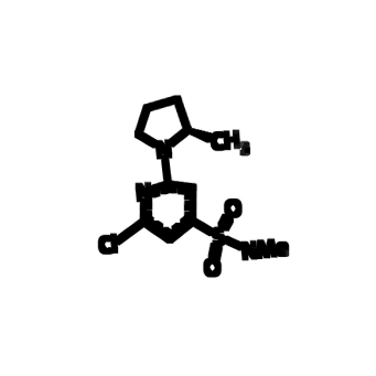 CNS(=O)(=O)c1cc(Cl)nc(N2CCC[C@H]2C)c1